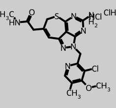 CNC(=O)CC1=Cc2nn(Cc3ncc(C)c(OC)c3Cl)c3nc(N)nc(c23)SC1.Cl.Cl